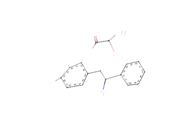 CC(O)C(=O)O.Cc1ccc(CC(N)c2ccccc2)cc1